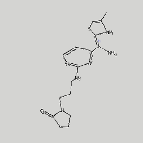 CC1=CS/C(=C(/N)c2ccnc(NCCCN3CCCC3=O)n2)N1